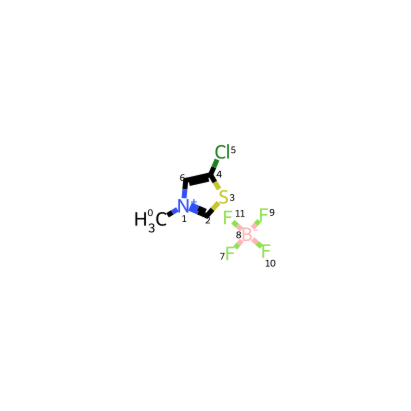 C[n+]1csc(Cl)c1.F[B-](F)(F)F